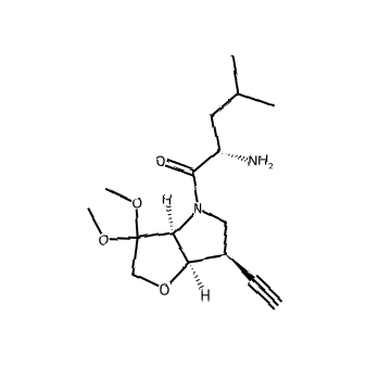 C#C[C@@H]1CN(C(=O)[C@@H](N)CC(C)C)[C@H]2[C@@H]1OCC2(OC)OC